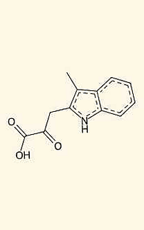 Cc1c(CC(=O)C(=O)O)[nH]c2ccccc12